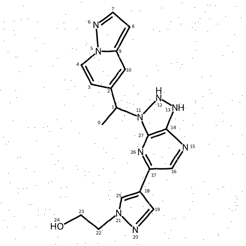 CC(c1ccn2nccc2c1)N1NNc2ncc(-c3cnn(CCO)c3)nc21